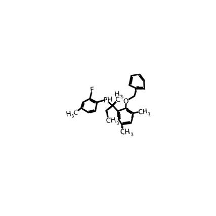 CCC(C)(Pc1ccc(C)cc1F)c1cc(C)cc(C)c1OCc1ccccc1